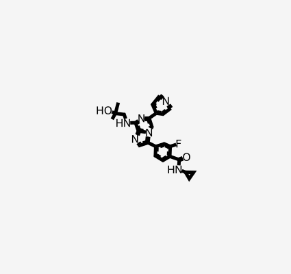 CC(C)(O)CNc1nc(-c2ccncc2)cn2c(-c3ccc(C(=O)NC4CC4)c(F)c3)cnc12